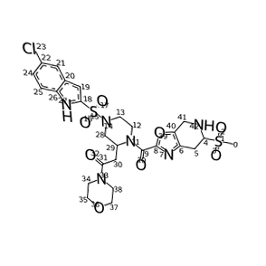 CS(=O)(=O)C1Cc2nc(C(=O)N3CCN(S(=O)(=O)c4cc5cc(Cl)ccc5[nH]4)CC3CC(=O)N3CCOCC3)oc2CN1